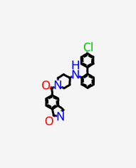 O=C1N=Cc2cc(C(=O)N3CCC(Nc4ccccc4-c4ccc(Cl)cc4)CC3)ccc21